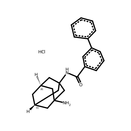 Cl.NC12C[C@H]3C[C@@H](C1)CC(NC(=O)c1cccc(-c4ccccc4)c1)(C3)C2